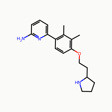 Cc1c(OCCC2CCCN2)ccc(-c2cccc(N)n2)c1C